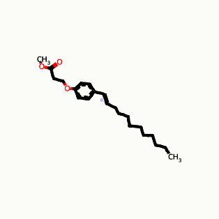 CCCCCCCCCC/C=C/c1ccc(OCCC(=O)OC)cc1